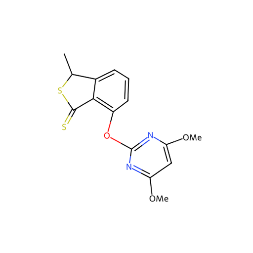 COc1cc(OC)nc(Oc2cccc3c2C(=S)SC3C)n1